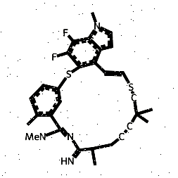 CN/C1=N\C(=N)C(C)CCCC(C)(C)CS/C=C/c2c(c(F)c(F)c3c2ccn3C)Sc2ccc(C)c1c2